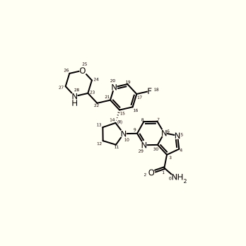 NC(=O)c1cnn2ccc(N3CCC[C@@H]3c3cc(F)cnc3CC3COCCN3)nc12